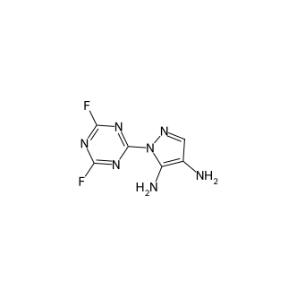 Nc1cnn(-c2nc(F)nc(F)n2)c1N